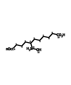 CCCCCCCCCCCC(CCCCCC(=O)O)[SiH2]O